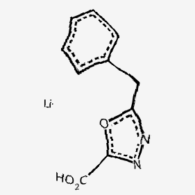 O=C(O)c1nnc(Cc2ccccc2)o1.[Li]